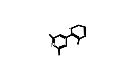 CC1=C(c2cc(C)nc(C)c2)[CH]CC=C1